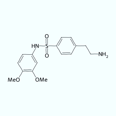 COc1ccc(NS(=O)(=O)c2ccc(CCN)cc2)cc1OC